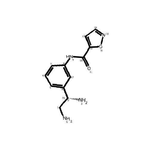 NC[C@@H](N)c1cccc(NC(=O)c2ccno2)c1